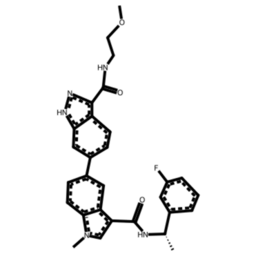 COCCNC(=O)c1n[nH]c2cc(-c3ccc4c(c3)c(C(=O)N[C@@H](C)c3cccc(F)c3)cn4C)ccc12